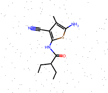 CCC(CC)C(=O)Nc1sc(N)c(C)c1C#N